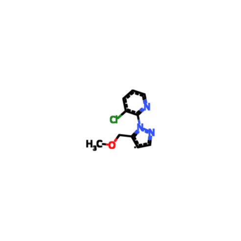 COCc1[c]cnn1-c1ncccc1Cl